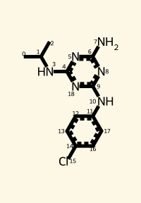 CC(C)Nc1nc(N)nc(Nc2ccc(Cl)cc2)n1